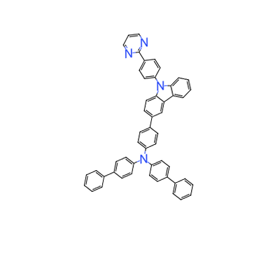 c1ccc(-c2ccc(N(c3ccc(-c4ccccc4)cc3)c3ccc(-c4ccc5c(c4)c4ccccc4n5-c4ccc(-c5ncccn5)cc4)cc3)cc2)cc1